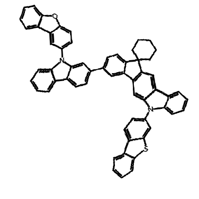 c1ccc2c(c1)oc1ccc(-n3c4ccccc4c4ccc(-c5ccc6c(c5)-c5cc7c(cc5C65CCCCC5)c5ccccc5n7-c5ccc6c(c5)sc5ccccc56)cc43)cc12